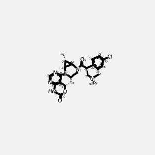 CC(C)N(C)C[C@@H](C(=O)N1CCN(c2ncnc3c2[C@H](C)OC(=O)N3)C2C1[C@H]2C)c1ccc(Cl)cc1